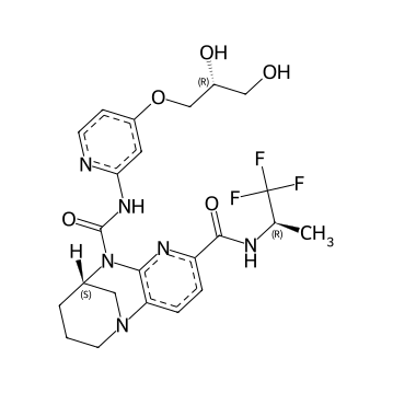 C[C@@H](NC(=O)c1ccc2c(n1)N(C(=O)Nc1cc(OC[C@H](O)CO)ccn1)[C@H]1CCCN2C1)C(F)(F)F